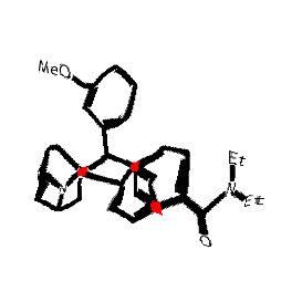 CCN(CC)C(=O)c1ccc(C(c2cccc(OC)c2)N2CC3CC(C2)N3Cc2ccccc2)cc1